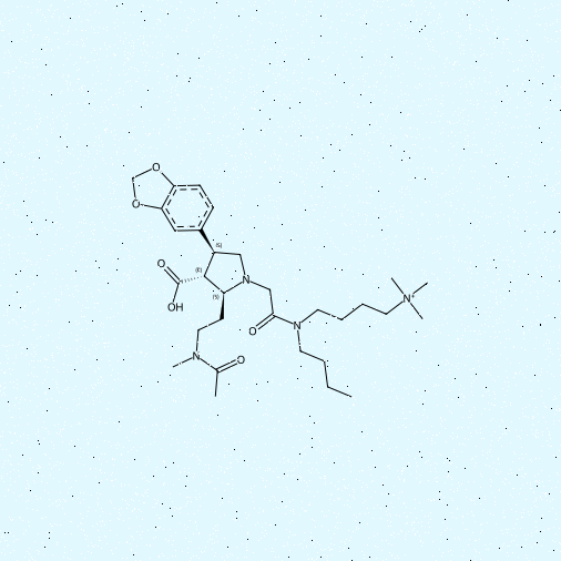 CCCCN(CCCC[N+](C)(C)C)C(=O)CN1C[C@H](c2ccc3c(c2)OCO3)[C@@H](C(=O)O)[C@@H]1CCN(C)C(C)=O